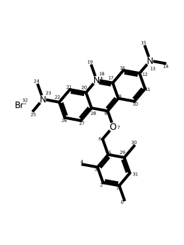 Cc1cc(C)c(COc2c3ccc(N(C)C)cc3[n+](C)c3cc(N(C)C)ccc23)c(C)c1.[Br-]